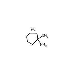 Cl.NC1(N)CCCCC1